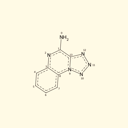 Nc1nc2ccccc2n2nnnc12